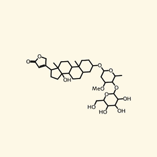 COC1CC(OC2CCC3(C)C(CCC4C3CCC3(C)C(C5=CC(=O)OC5)CCC43O)C2)OC(C)C1OC1OC(CO)C(O)C(O)C1O